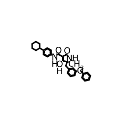 CC1(Cc2cccc(Oc3ccccc3)c2)NC(=O)C(C(=O)Nc2ccc(C3CCCCC3)cc2)=C1O